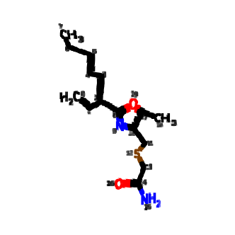 C=C/C(=C\C=C\CC)c1nc(CSCC(N)=O)c(C)o1